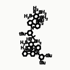 Bc1c(B)c(B)c(-c2cccc3c2c2c(C(C)(C)C)cccc2n3-c2cc(C(C)(C)C)cc(C(C)(C)Bc3c(B)c(B)c(B)c(-c4cccc5c4c4c(C(C)(C)C)c(-c6ccccc6)ccc4n5-c4cc(C(C)(C)C)cc(C(C)(C)C)c4)c3B)c2)c(B)c1B